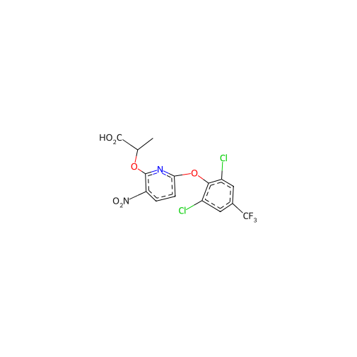 CC(Oc1nc(Oc2c(Cl)cc(C(F)(F)F)cc2Cl)ccc1[N+](=O)[O-])C(=O)O